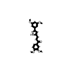 COc1cc(OC)cc(-c2cc(/C=C/C(=O)c3ccc(OC)c(OC)c3)[nH]n2)c1